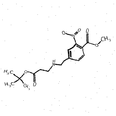 COC(=O)c1ccc(CNCCC(=O)OC(C)(C)C)cc1[N+](=O)[O-]